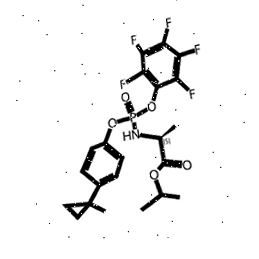 CC(C)OC(=O)[C@H](C)NP(=O)(Oc1ccc(C2(C)CC2)cc1)Oc1c(F)c(F)c(F)c(F)c1F